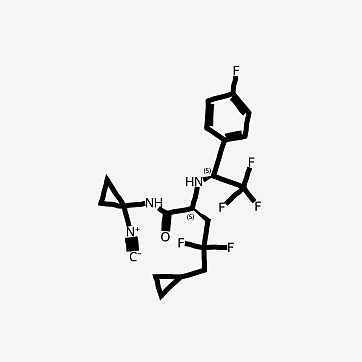 [C-]#[N+]C1(NC(=O)[C@H](CC(F)(F)CC2CC2)N[C@@H](c2ccc(F)cc2)C(F)(F)F)CC1